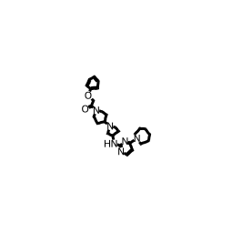 O=C(COc1ccccc1)N1CCC(N2CCC(Nc3nccc(N4CCCCCC4)n3)C2)CC1